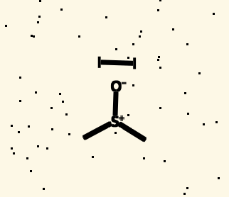 C[S+](C)[O-].II